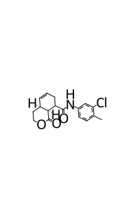 Cc1ccc(NC(=O)C2CC=C[C@@H]3CCOC(=O)[C@H]23)cc1Cl